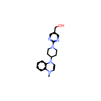 CN1C=CN(C2CCN(c3ncc(CO)cn3)CC2)c2ccccc21